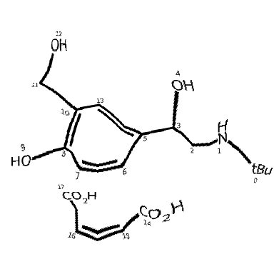 CC(C)(C)NCC(O)c1ccc(O)c(CO)c1.O=C(O)/C=C\C(=O)O